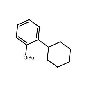 CC(C)COc1ccccc1C1CCCCC1